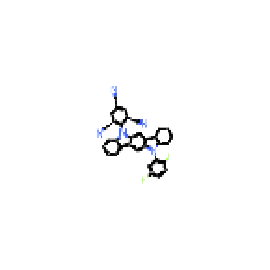 N#Cc1cc(C#N)c(-n2c3ccccc3c3cc4c(cc32)c2ccccc2n4-c2cc(F)ccc2F)c(C#N)c1